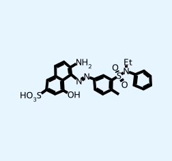 CCN(c1ccccc1)S(=O)(=O)c1cc(N=Nc2c(N)ccc3cc(S(=O)(=O)O)cc(O)c23)ccc1C